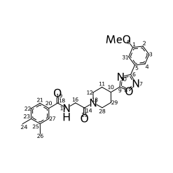 COc1cccc(-c2noc(C3CCN(C(=O)CNC(=O)c4ccc(C)c(C)c4)CC3)n2)c1